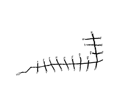 CC(F)(C(F)(F)C(F)(F)C(F)(F)F)C(F)(F)C(F)(F)C(F)(F)C(F)(F)C(F)(F)C(F)(F)C(F)(F)C(F)(F)CCO